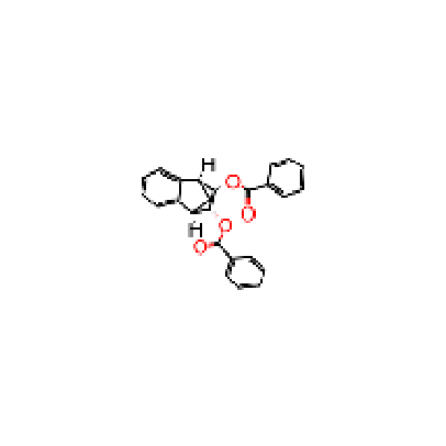 O=C(O[C@@H]1[C@H](OC(=O)c2ccccc2)[C@@H]2C[C@H]1c1ccccc12)c1ccccc1